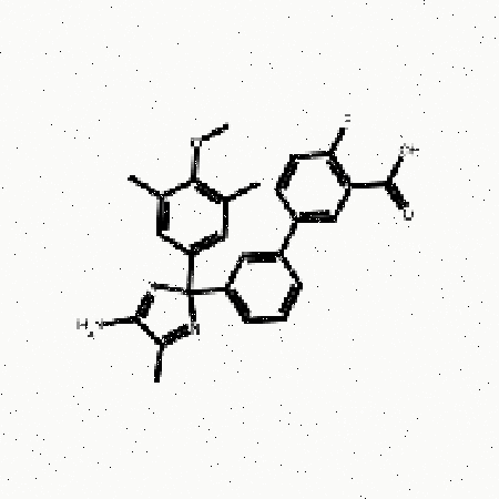 COc1c(C)cc(C2(c3cccc(-c4ccc(F)c(C(=O)O)c4)c3)N=C(C)C(N)=N2)cc1C